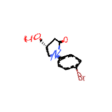 O=C1C[C@@H](CO)CN1c1ccc(Br)cc1